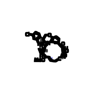 CCCCc1cc(Cl)ccc1[C@@H]1COc2ccc3cc2N(C1)C[C@@H]1CC[C@H]1[C@@H](OC)/C=C/CC[C@@H](C)S(=O)(=O)NC3=O